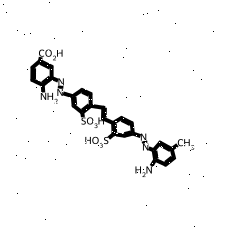 Cc1ccc(N)c(/N=N/c2ccc(/C=C/c3ccc(/N=N/c4cc(C(=O)O)ccc4N)cc3S(=O)(=O)O)c(S(=O)(=O)O)c2)c1